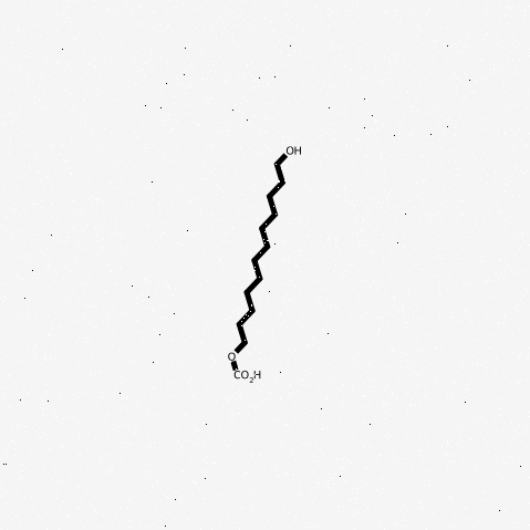 O=C(O)OCCCCCCCCCCCCO